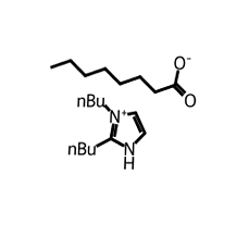 CCCCCCCC(=O)[O-].CCCCc1[nH]cc[n+]1CCCC